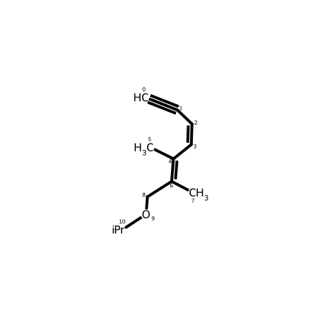 C#C/C=C\C(C)=C(/C)COC(C)C